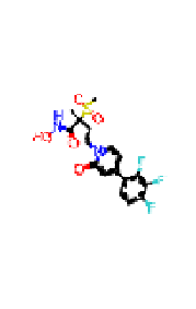 C[C@@](CCn1ccc(-c2ccc(F)c(F)c2F)cc1=O)(C(=O)NO)S(C)(=O)=O